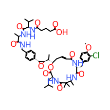 COc1ccc(C[C@H]2NC(=O)/C=C/C[C@@H](C(C)[C@H]3O[C@@H]3c3ccc(CNC(=O)C(C)NC(=O)C(NC(=O)CCCC(=O)O)C(C)C)cc3)OC(=O)[C@H](CC(C)C)NC(=O)C(C)(C)C(C)NC2=O)cc1Cl